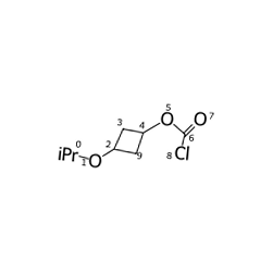 CC(C)OC1CC(OC(=O)Cl)C1